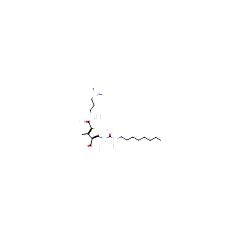 CCCCCCCCNC(=O)Nc1sc(C(=O)NCCCN(C)C)c(C)c1C(=O)O